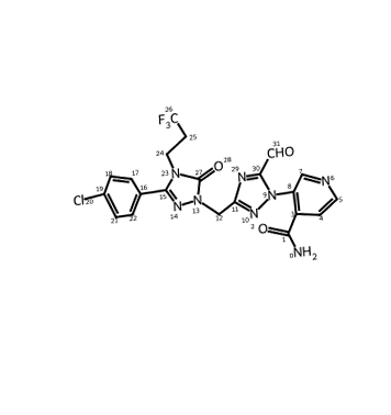 NC(=O)c1ccncc1-n1nc(Cn2nc(-c3ccc(Cl)cc3)n(CCC(F)(F)F)c2=O)nc1C=O